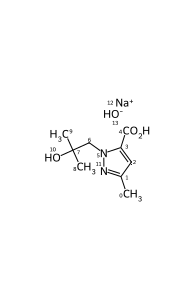 Cc1[c]c(C(=O)O)n(CC(C)(C)O)n1.[Na+].[OH-]